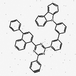 c1ccc(-c2nc(-c3cccc(-c4cccc(-n5c6ccccc6c6ccccc65)c4)c3)nc(-c3ccc(-c4ccccc4)c4ccccc34)n2)cc#1